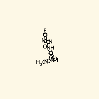 CN1CCC(NS(=O)(=O)Cc2ccc(CNC(=O)c3cncc4c3cnn4-c3ccc(F)cc3)cc2)CC1